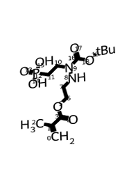 C=C(C)C(=O)OCCNN(CCP(=O)(O)O)C(=O)OC(C)(C)C